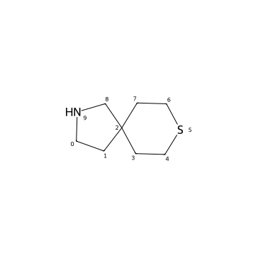 C1CC2(CCSCC2)CN1